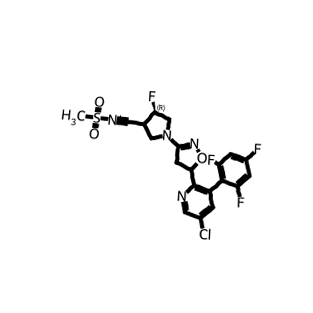 CS(=O)(=O)[N+]#CC1CN(C2=NOC(c3ncc(Cl)cc3-c3c(F)cc(F)cc3F)C2)C[C@@H]1F